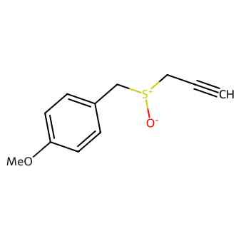 C#CC[S+]([O-])Cc1ccc(OC)cc1